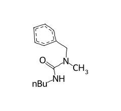 CCCCNC(=O)N(C)Cc1ccccc1